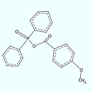 COc1ccc(C(=O)OP(=O)(c2ccccc2)c2ccccc2)cc1